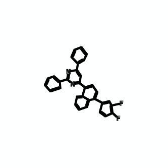 Fc1ccc(-c2ccc(-c3cc(-c4ccccc4)nc(-c4ccccc4)n3)c3ccccc23)cc1F